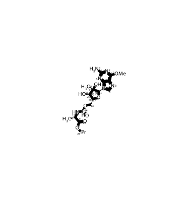 COc1nc(N)nc2c1ncn2[C@@H]1O[C@H](CO[PH](=O)N[C@@H](C)C(=O)OC(C)C)[C@@H](O)[C@@]1(C)O